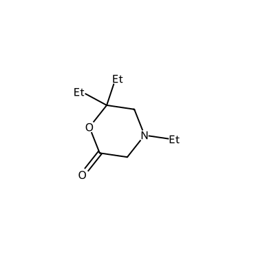 CCN1CC(=O)OC(CC)(CC)C1